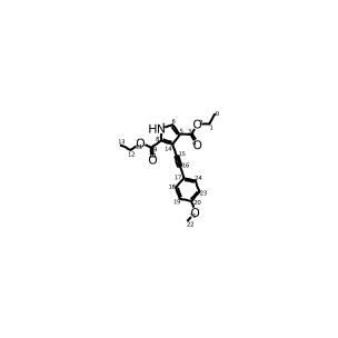 CCOC(=O)c1c[nH]c(C(=O)OCC)c1C#Cc1ccc(OC)cc1